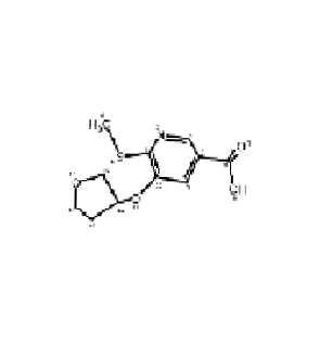 CSc1ncc(C(=O)O)cc1OC1CCOC1